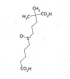 CC(C)(CCC[S+]([O-])CCCCC(=O)O)C(=O)O